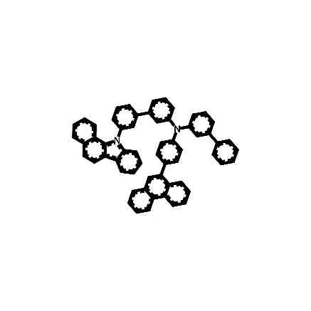 c1ccc(-c2cccc(N(c3ccc(-c4cc5ccccc5c5ccccc45)cc3)c3cccc(-c4cccc(-n5c6ccccc6c6ccc7ccccc7c65)c4)c3)c2)cc1